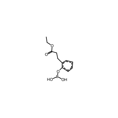 CCOC(=O)CCc1ccccc1OB(O)O